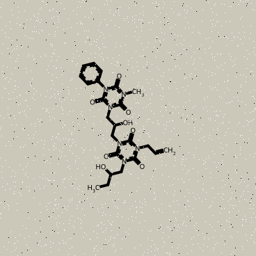 C=CCn1c(=O)n(CC(O)CC)c(=O)n(CC(O)Cn2c(=O)n(C)c(=O)n(-c3ccccc3)c2=O)c1=O